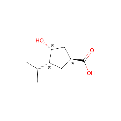 CC(C)[C@H]1C[C@H](C(=O)O)C[C@H]1O